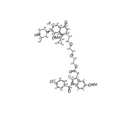 COc1ccc2c(c1)c(CC(=O)OCCOCCOCCc1cc(=O)c3cc(F)c(N4CCNC(C)C4)c(OC)c3n1C1CC1)c(C)n2C(=O)c1ccc(Cl)cc1